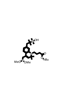 CCCCOC(=O)CCCN1c2cc(CC(C)(C)[Si](C)(C)O)ccc2C(CP(OC)OC)=CC1(C)C